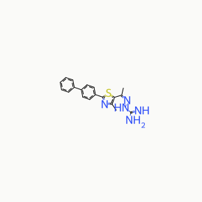 C/C(=N/NC(=N)N)c1sc(-c2ccc(-c3ccccc3)cc2)nc1C